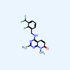 Cc1nc(NCc2cccc(C(F)F)c2F)c2ccc(=O)n(C)c2n1